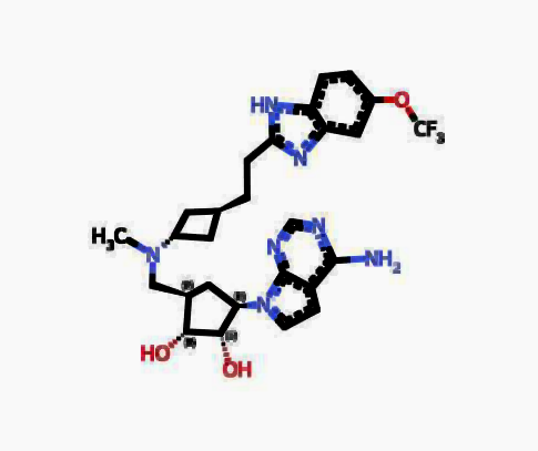 CN(C[C@H]1C[C@@H](n2ccc3c(N)ncnc32)[C@H](O)[C@@H]1O)[C@H]1C[C@H](CCc2nc3cc(OC(F)(F)F)ccc3[nH]2)C1